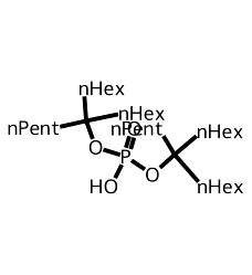 CCCCCCC(CCCCC)(CCCCCC)OP(=O)(O)OC(CCCCC)(CCCCCC)CCCCCC